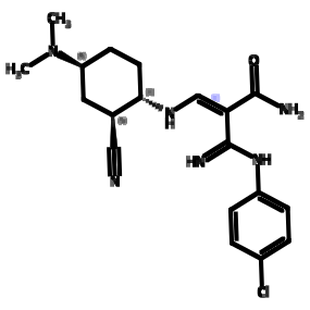 CN(C)[C@H]1CC[C@H](N/C=C(\C(=N)Nc2ccc(Cl)cc2)C(N)=O)[C@@H](C#N)C1